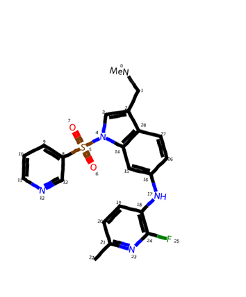 CNCc1cn(S(=O)(=O)c2cccnc2)c2cc(Nc3ccc(C)nc3F)ccc12